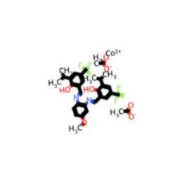 CC(=O)[O-].CC(=O)[O-].COc1ccc(N=Cc2cc(C(F)(F)F)cc(C(C)C)c2O)c(N=Cc2cc(C(F)(F)F)cc(C(C)C)c2O)c1.[Co+2]